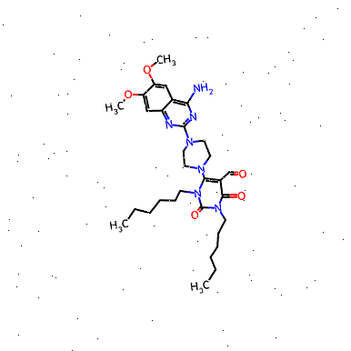 CCCCCCn1c(N2CCN(c3nc(N)c4cc(OC)c(OC)cc4n3)CC2)c(C=O)c(=O)n(CCCCCC)c1=O